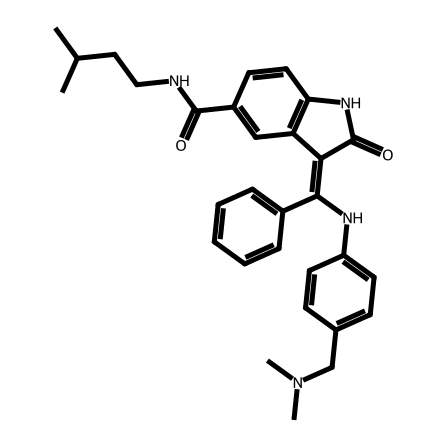 CC(C)CCNC(=O)c1ccc2c(c1)/C(=C(/Nc1ccc(CN(C)C)cc1)c1ccccc1)C(=O)N2